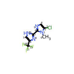 Cn1c(Cl)cnc1-c1nc(C(F)(F)F)c[nH]1